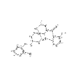 CC1CN(C(=O)c2c(F)cccc2F)CC2(CCN(CCc3ncccc3Cl)CC2)O1